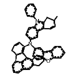 CC1C=Cc2c(n(-c3ccccc3)c3ccc(N(C4=C5c6c7c(cc8cccc(c68)C5CC=C4)CCC=C7)c4ccc5oc6ccccc6c5c4)cc23)C1